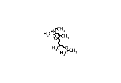 CCN(CC)C(=O)C=C(C)C(=O)CCC(C)CCOC(C)C